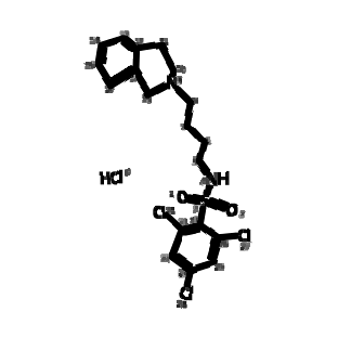 Cl.O=S(=O)(NCCCCN1CCc2ccccc2C1)c1c(Cl)cc(Cl)cc1Cl